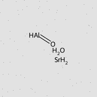 O.[O]=[AlH].[SrH2]